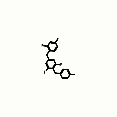 Cc1ccc(Cc2c(F)cc(Cc3ccc(C)cc3F)cc2F)cc1